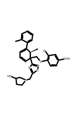 Cc1ccccc1C1=CC=CC(COc2ccc(C=O)cc2Cl)(c2noc(CN3CCC(O)C3)n2)[C@@H]1C